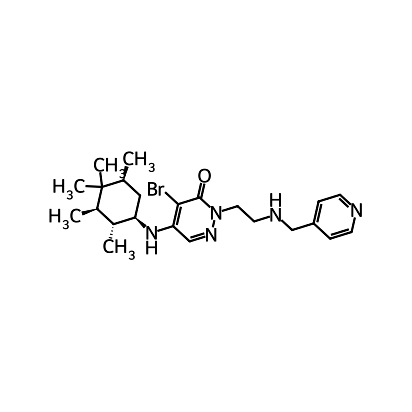 C[C@@H]1[C@@H](C)C(C)(C)[C@@H](C)C[C@H]1Nc1cnn(CCNCc2ccncc2)c(=O)c1Br